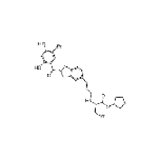 CC(C)C[C@@H](NCCCc1ccc2c(c1)CN(C(=O)c1cc(C(C)C)c(O)cc1O)C2)C(=O)OC1CCCC1